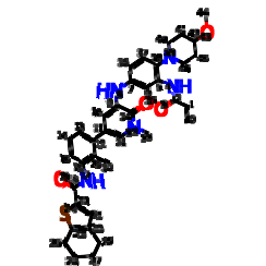 C=CC(=O)Nc1cc(Nc2cc(-c3cccc(NC(=O)c4cc5c(s4)CCCC5)c3C)cn(C)c2=O)ccc1N1CCC(OC)CC1